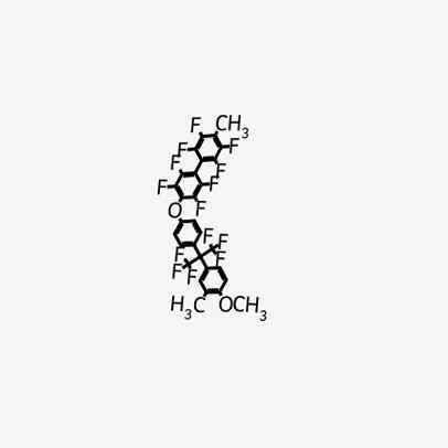 COc1ccc(C(c2ccc(Oc3c(F)c(F)c(-c4c(F)c(F)c(C)c(F)c4F)c(F)c3F)cc2)(C(F)(F)F)C(F)(F)F)cc1C